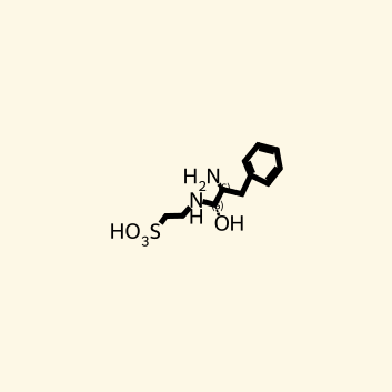 N[C@@H](Cc1ccccc1)[C@H](O)NCCS(=O)(=O)O